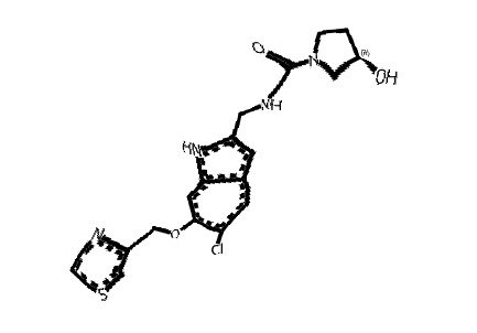 O=C(NCc1cc2cc(Cl)c(OCc3cscn3)cc2[nH]1)N1CC[C@@H](O)C1